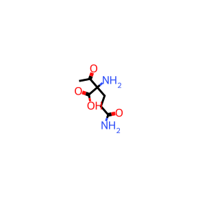 CC(=O)C(N)(CCC(N)=O)C(=O)O